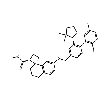 COC(=O)[C@H]1CC[C@]12CCCc1ccc(OCc3ccc(-c4cc(C)ccc4F)c([C@@H]4CCCC4(C)C)c3)cc12